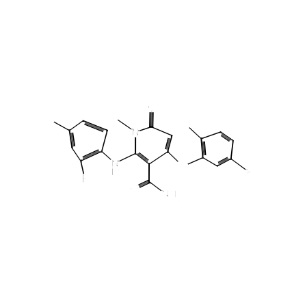 Cc1ccc(Nc2c(C(N)=O)c(Oc3cc(F)ccc3C)cc(=O)n2C)c(F)c1